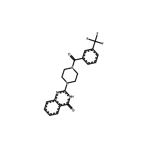 O=C(c1cccc(C(F)(F)F)c1)N1CCN(c2nc3ccccc3c(=O)[nH]2)CC1